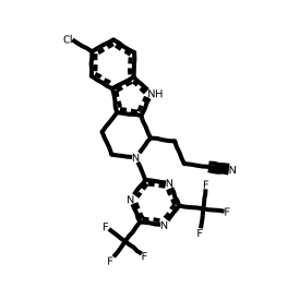 N#CCCC1c2[nH]c3ccc(Cl)cc3c2CCN1c1nc(C(F)(F)F)nc(C(F)(F)F)n1